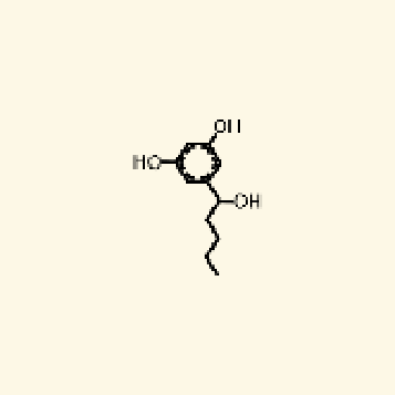 CCCCC(O)c1cc(O)cc(O)c1